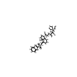 CC[Si](CC)(CC)OC(C)(C)C(F)CCC(C)[C@H]1CC[C@H]2/C(=C/CS(=O)(=O)c3nc4ccccc4s3)CCC[C@]12C